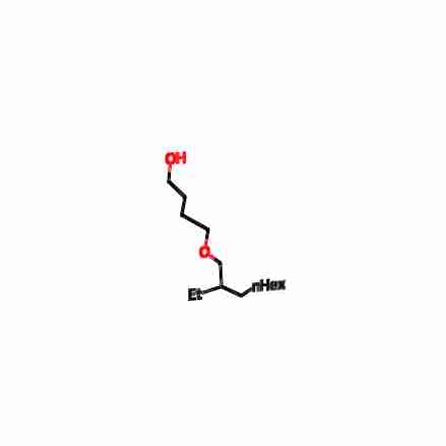 CCCCCCCC(CC)COCCCCO